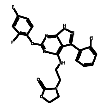 O=C1OCCN1CCNc1nc(Oc2ccc(F)cc2F)nc2[nH]nc(-c3ccccc3Cl)c12